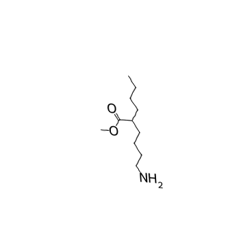 CCCCC(CCCCN)C(=O)OC